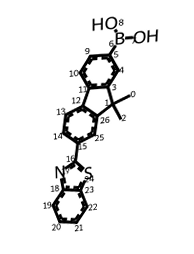 CC1(C)c2cc(B(O)O)ccc2-c2ccc(-c3nc4ccccc4s3)cc21